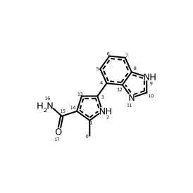 Cc1[nH]c(-c2cccc3[nH]cnc23)cc1C(N)=O